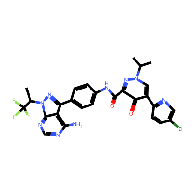 CC(C)n1cc(-c2ccc(Cl)cn2)c(=O)c(C(=O)Nc2ccc(-c3nn(C(C)C(F)(F)F)c4ncnc(N)c34)cc2)n1